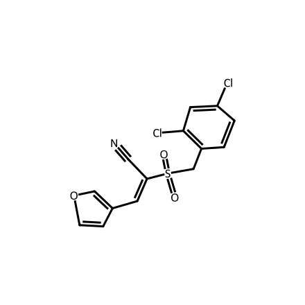 N#C/C(=C\c1ccoc1)S(=O)(=O)Cc1ccc(Cl)cc1Cl